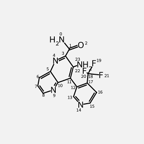 NC(=O)c1nc2cccnc2c(-c2cnccc2C(F)(F)F)c1N